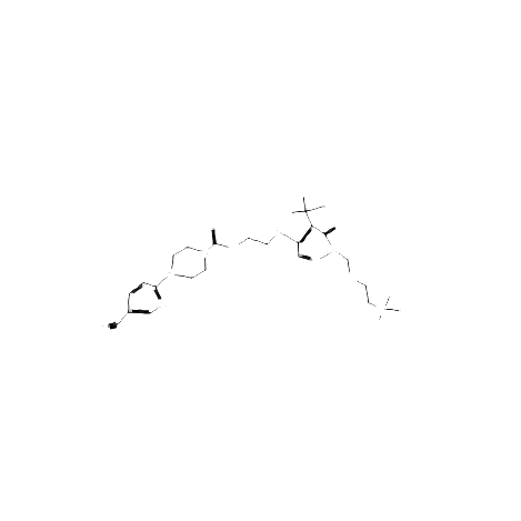 C[Si](C)(C)CCOCn1ncc(NCCOC(=O)N2CCN(c3ccc(C#N)cn3)CC2)c(C(F)(F)F)c1=O